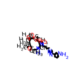 B[C@@H]1[C@H](C)C(=O)[C@@H](C)C(=O)O[C@H](CC)[C@@]2(C)OC(=O)N(CCCCn3cc(-c4cccc(N)c4)nn3)[C@@H]2[C@@H](C)NC[C@H](C)C[C@@]1(CC=C)OC